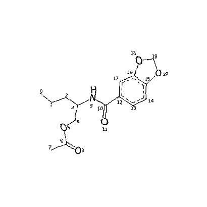 CCCC(COC(C)=O)NC(=O)c1ccc2c(c1)OCO2